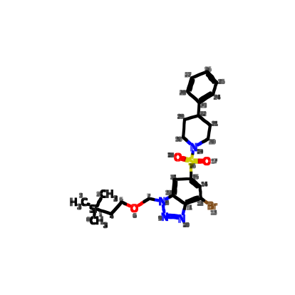 C[Si](C)(C)CCOCn1nnc2c(Br)cc(S(=O)(=O)N3CCC(c4ccccc4)CC3)cc21